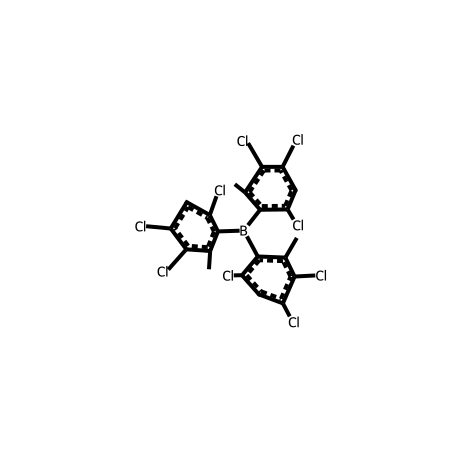 Cc1c(Cl)c(Cl)cc(Cl)c1B(c1c(Cl)cc(Cl)c(Cl)c1C)c1c(Cl)cc(Cl)c(Cl)c1C